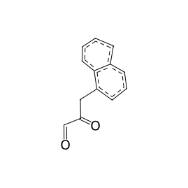 O=CC(=O)Cc1cccc2ccccc12